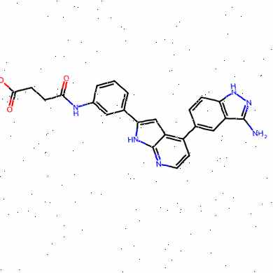 Nc1n[nH]c2ccc(-c3ccnc4[nH]c(-c5cccc(NC(=O)CCC(=O)O)c5)cc34)cc12